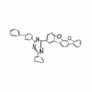 c1ccc(-c2ccc(-c3nc(-c4ccccc4)nc(-c4ccc5oc6c(ccc7c8ccccc8oc76)c5c4)n3)cc2)cc1